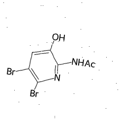 CC(=O)Nc1nc(Br)c(Br)cc1O